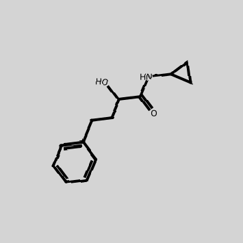 O=C(NC1CC1)C(O)CCc1ccccc1